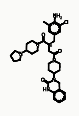 Cc1cc(C[C@@H](CC(=O)N2CCC(N3Cc4ccccc4NC3=O)CC2)C(=O)N2CCC(N3CCCC3)CC2)cc(Cl)c1N